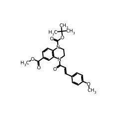 COC(=O)c1ccc2c(c1)N(C(=O)C=Cc1ccc(OC)cc1)CCN2C(=O)OC(C)(C)C